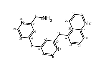 NCc1cc(Cc2ccnc(Cc3cccc4ncccc34)c2)ccn1